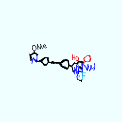 COC1CCN(Cc2ccc(C#Cc3ccc(C(CNCC(C)F)Cc4nc[nH]c(=O)c4O)cc3)cc2)C1